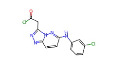 O=C(Cl)Cc1nnc2ccc(Nc3cccc(Cl)c3)nn12